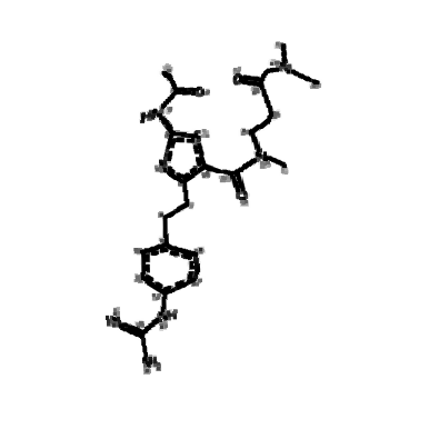 CC(=O)Nc1nc(CCc2ccc(NC(=N)N)cc2)c(C(=O)N(C)CCC(=O)N(C)C)s1